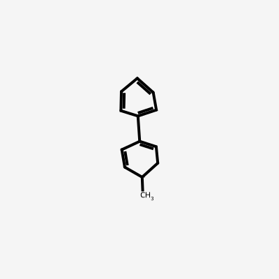 C[C]1C=CC(c2ccccc2)=CC1